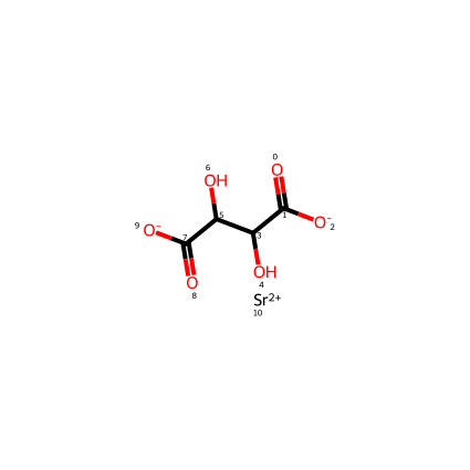 O=C([O-])C(O)C(O)C(=O)[O-].[Sr+2]